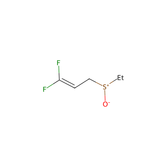 CC[S+]([O-])CC=C(F)F